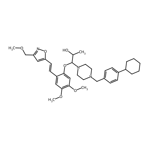 COCc1cc(/C=C/c2cc(OC)c(OC)cc2OC(C(C)O)N2CCN(Cc3ccc(C4CCCCC4)cc3)CC2)on1